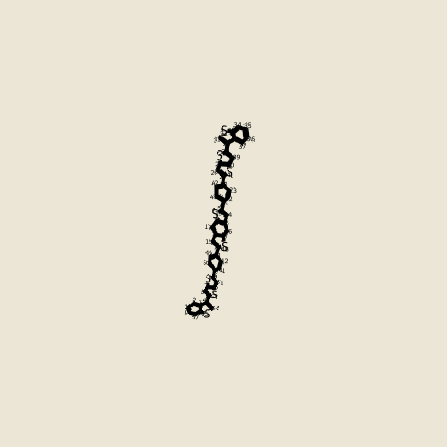 c1ccc2c(-c3cc4sc(-c5ccc(-c6cc7cc8sc(-c9ccc(-c%10cc%11sc(-c%12csc%13ccccc%12%13)cc%11s%10)cc9)cc8cc7s6)cc5)cc4s3)csc2c1